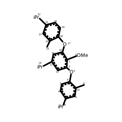 COc1c(Oc2ccc(C(C)C)cc2C)cc(C(C)C)cc1Oc1ccc(C(C)C)cc1C